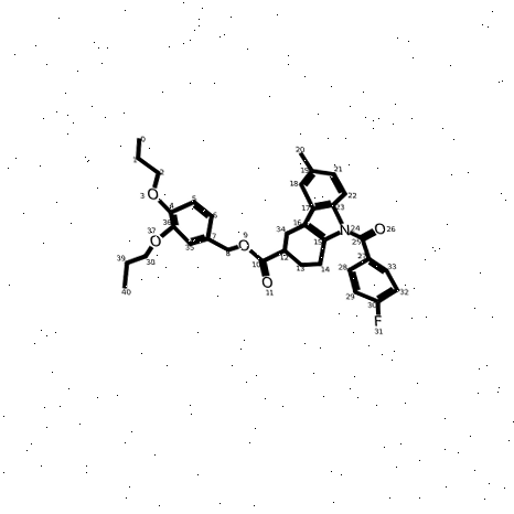 CCCOc1ccc(COC(=O)C2CCc3c(c4cc(C)ccc4n3C(=O)c3ccc(F)cc3)C2)cc1OCCC